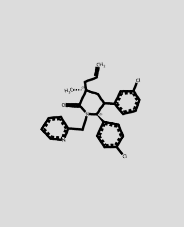 C=CC[C@@]1(C)CC(c2cccc(Cl)c2)[C@@H](c2ccc(Cl)cc2)N(Cc2ccccn2)C1=O